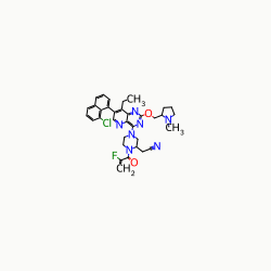 C=C(F)C(=O)N1CCN(c2nc(OCC3CCCN3C)nc3c(CC)c(-c4cccc5cccc(Cl)c45)cnc23)CC1CC#N